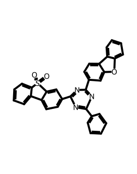 O=S1(=O)c2ccccc2-c2ccc(-c3nc(-c4ccccc4)nc(-c4ccc5c(c4)oc4ccccc45)n3)cc21